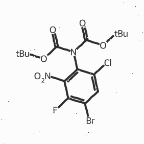 CC(C)(C)OC(=O)N(C(=O)OC(C)(C)C)c1c(Cl)cc(Br)c(F)c1[N+](=O)[O-]